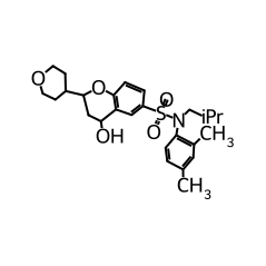 Cc1ccc(N(CC(C)C)S(=O)(=O)c2ccc3c(c2)C(O)CC(C2CCOCC2)O3)c(C)c1